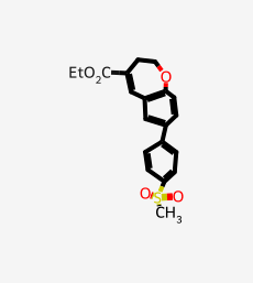 CCOC(=O)C1=Cc2cc(-c3ccc(S(C)(=O)=O)cc3)ccc2OCC1